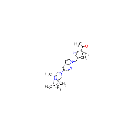 C=C(/C=C\C(=C)C(C)=O)Cn1ccc2cc(N3C[C@@H](C)N(CC(C)(C)F)[C@@H](C)C3)cnc21